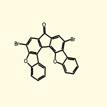 O=C1c2cc(Br)c3c(oc4ccccc43)c2-c2c1cc(Br)c1oc3ccccc3c21